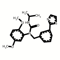 COc1ccc(OC)c(N(Cc2cccc(-c3nccs3)c2)C(=O)NC(C)C)c1